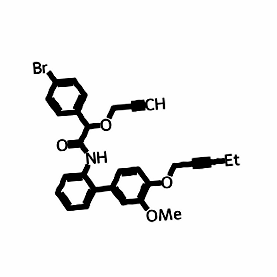 C#CCOC(C(=O)Nc1ccccc1-c1ccc(OCC#CCC)c(OC)c1)c1ccc(Br)cc1